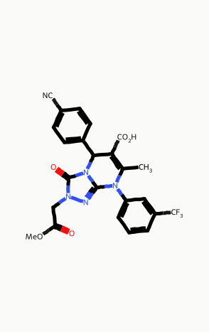 COC(=O)Cn1nc2n(c1=O)C(c1ccc(C#N)cc1)C(C(=O)O)=C(C)N2c1cccc(C(F)(F)F)c1